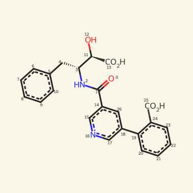 O=C(N[C@H](Cc1ccccc1)[C@@H](O)C(=O)O)c1cncc(-c2ccccc2C(=O)O)c1